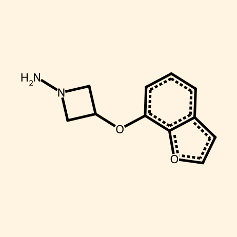 NN1CC(Oc2cccc3ccoc23)C1